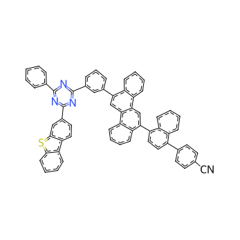 N#Cc1ccc(-c2ccc(-c3cc4c5ccccc5c(-c5cccc(-c6nc(-c7ccccc7)nc(-c7ccc8c(c7)sc7ccccc78)n6)c5)cc4c4ccccc34)c3ccccc23)cc1